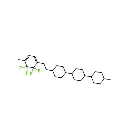 CC1=CC=C(CCC2CCC(C3CCC(C4CCC(C)CC4)CC3)CC2)C(F)(F)C1(F)F